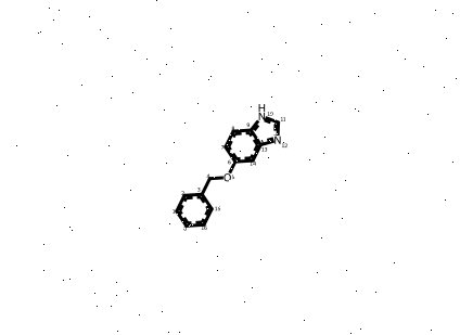 c1ccc(COc2ccc3[nH]cnc3c2)cc1